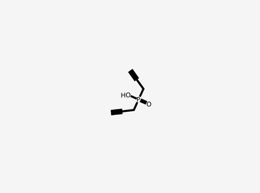 C#CCP(=O)(O)CC#C